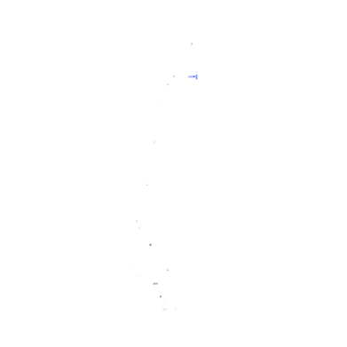 Cc1ccc(OCCCCOCc2ccon2)cc1